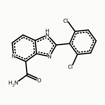 NC(=O)c1nccc2[nH]c(-c3c(Cl)cccc3Cl)nc12